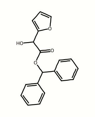 O=C(OC(c1ccccc1)c1ccccc1)C(O)c1ccco1